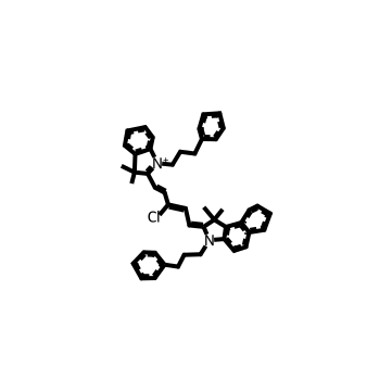 CC1(C)C(/C=C/C(Cl)=C/C=C2/N(CCCc3ccccc3)c3ccc4ccccc4c3C2(C)C)=[N+](CCCc2ccccc2)c2ccccc21